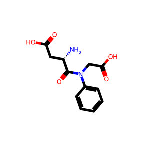 N[C@@H](CC(=O)O)C(=O)N(CC(=O)O)c1ccccc1